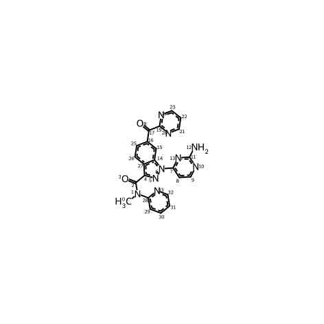 CN(C(=O)c1nn(-c2ccnc(N)n2)c2cc(C(=O)c3ncccn3)ccc12)c1ccccn1